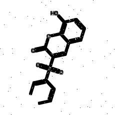 C/C=C\C(=C/C)S(=O)(=O)c1cc2cccc(O)c2oc1=O